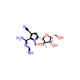 Cn1c([C@@H]2O[C@H](CO)[C@@H](O)[C@@]2(C)O)cc(C#N)c1/C(N)=N\C=N